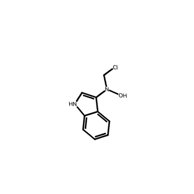 ON(CCl)c1c[nH]c2ccccc12